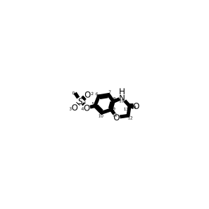 CS(=O)(=O)Oc1ccc2c(c1)OCC(=O)N2